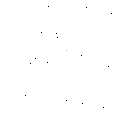 CCCc1cc(O)nc(CC(CCC)NCC(=O)O)c1